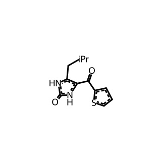 CC(C)Cc1[nH]c(=O)[nH]c1C(=O)c1cccs1